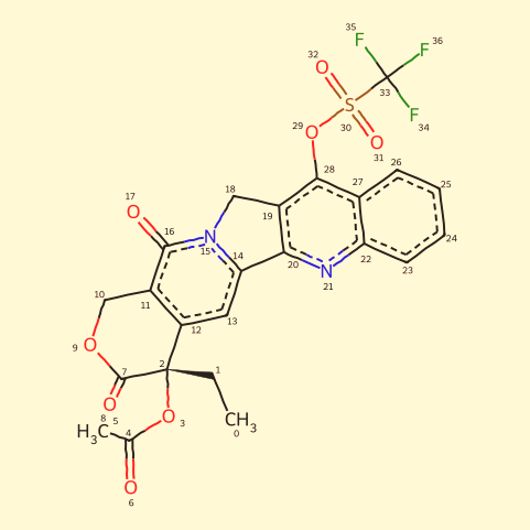 CC[C@@]1(OC(C)=O)C(=O)OCc2c1cc1n(c2=O)Cc2c-1nc1ccccc1c2OS(=O)(=O)C(F)(F)F